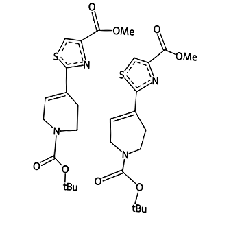 COC(=O)c1csc(C2=CCN(C(=O)OC(C)(C)C)CC2)n1.COC(=O)c1csc(C2=CCN(C(=O)OC(C)(C)C)CC2)n1